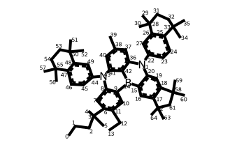 CCCC(C)(C)c1cc2c(cc1CC)B1c3cc4c(cc3N(c3ccc5c(c3)C(C)(C)CCC5(C)C)c3cc(C)cc(c31)N2c1ccc2c(c1)C(C)(C)CCC2(C)C)C(C)(C)CC4(C)C